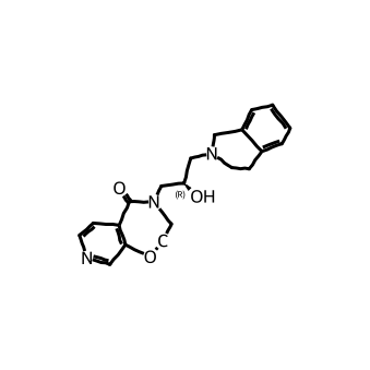 O=C1c2ccncc2OCCN1C[C@H](O)CN1CCc2ccccc2C1